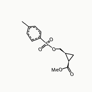 COC(=O)[C@@H]1C[C@@H]1COS(=O)(=O)c1ccc(C)cc1